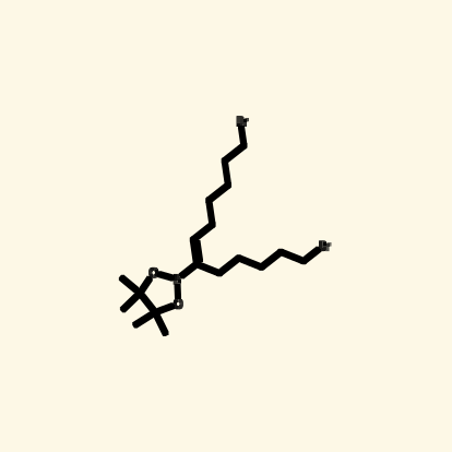 CC1(C)OB(C(=CCCCCCBr)CCCCCBr)OC1(C)C